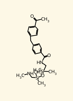 CNC[Si](C)(C)O[Si](C)(C)CNC(=O)c1ccc(Cc2ccc(C(C)=O)cc2)cc1